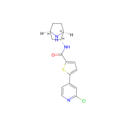 O=C(N[C@@H]1C[C@H]2CC[C@@H]1N2)c1ccc(-c2ccnc(Cl)c2)s1